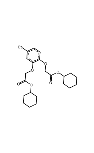 CCc1ccc(OCC(=O)OC2CCCCC2)c(OCC(=O)OC2CCCCC2)c1